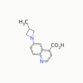 CC1CN(c2ccc3nccc(C(=O)O)c3c2)C1